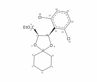 CCOC(=O)[C@@H]1OC2(CCCCC2)O[C@@H]1c1c(Cl)cccc1Cl